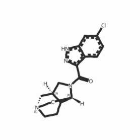 O=C(c1n[nH]c2cc(Cl)ccc12)N1C[C@@H]2C[N@@]3CCC2[C@@H]1C3